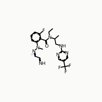 CCN(C(=O)c1c(F)cccc1N(C)/N=C\C=N)C(C)CNc1ncc(C(F)(F)F)cn1